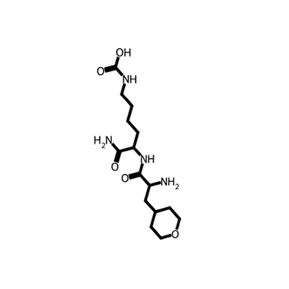 NC(=O)C(CCCCNC(=O)O)NC(=O)C(N)CC1CCOCC1